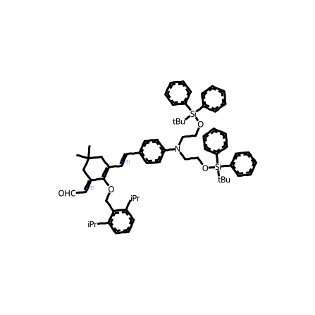 CC(C)c1cccc(C(C)C)c1COC1=C(/C=C/c2ccc(N(CCO[Si](c3ccccc3)(c3ccccc3)C(C)(C)C)CCO[Si](c3ccccc3)(c3ccccc3)C(C)(C)C)cc2)CC(C)(C)C/C1=C\C=O